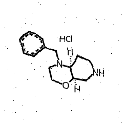 Cl.c1ccc(CN2CCO[C@@H]3CNCC[C@@H]32)cc1